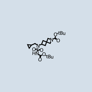 CC(C)(C)OC(=O)NS(=O)(=O)N(CC1CC1)C1CC2(C1)CN(C(=O)OC(C)(C)C)C2